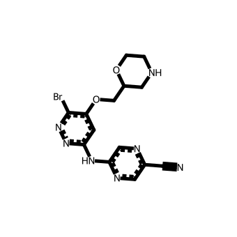 N#Cc1cnc(Nc2cc(OCC3CNCCO3)c(Br)nn2)cn1